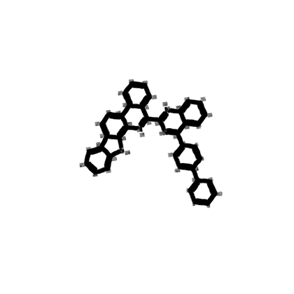 c1ccc(-c2ccc(-c3nc(-c4nc5c(ccc6c7ccccc7sc65)c5ccccc45)nc4ccccc34)cc2)cc1